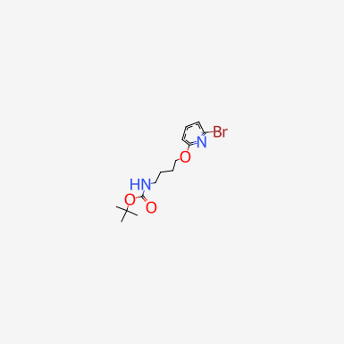 CC(C)(C)OC(=O)NCCCCOc1cccc(Br)n1